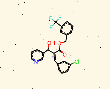 O=C(OCc1cccc(C(F)(F)F)c1)/C(=C\c1cccc(Cl)c1)C(O)c1cccnc1